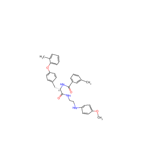 COc1ccc(NCCNC(=O)[C@H](Cc2ccc(Oc3ccccc3C)cc2)NC(=O)c2cccc(C)c2)cc1